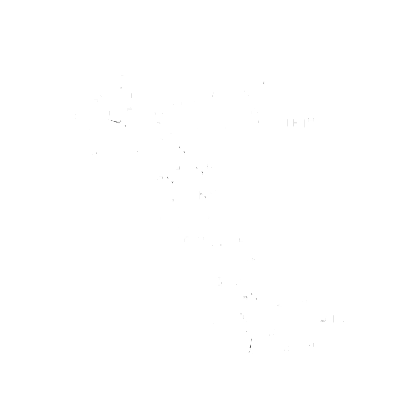 COc1cc(S(C)(=O)=O)ccc1N(C(=O)O[C@H](N[C@H](C(=O)O)C(C)C)C(C)C)c1nc2ccc(-c3ccc(NC(=O)[C@H](C)c4ccc(F)cc4)cc3)cn2n1.Cl